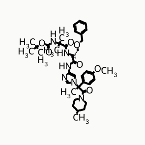 COc1ccc(C(C)(C(=O)N2CCC(C)CC2)n2cnc(NC(=O)[C@@H](COCc3ccccc3)NC(=O)C(C)(C)NC(=O)OC(C)(C)C)c2)cc1